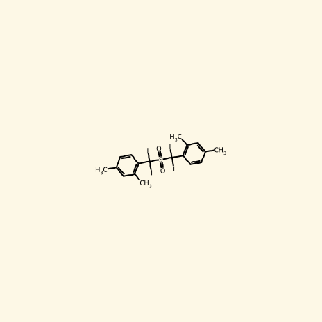 Cc1ccc(C(I)(I)S(=O)(=O)C(I)(I)c2ccc(C)cc2C)c(C)c1